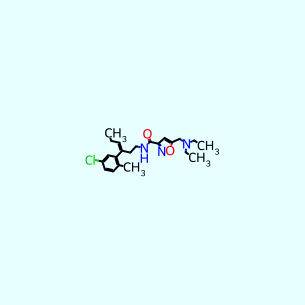 CC/C=C(/CCNC(=O)c1cc(CN(CC)CC)on1)c1cc(Cl)ccc1C